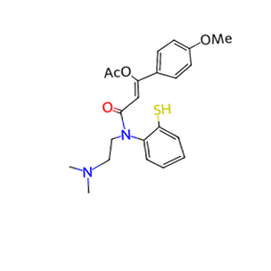 COc1ccc(C(=CC(=O)N(CCN(C)C)c2ccccc2S)OC(C)=O)cc1